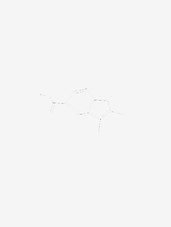 COC(=O)c1ccc2c(c1)c(Br)[n+](C)n2C